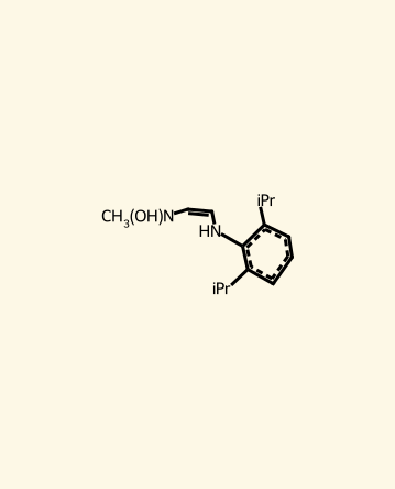 CC(C)c1cccc(C(C)C)c1N/C=C\N(C)O